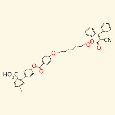 Cc1ccc(C(=O)O)c(-c2ccc(OC(=O)c3ccc(OCCCCCCCCOOC(=O)C(C#N)=C(c4ccccc4)c4ccccc4)cc3)cc2)c1